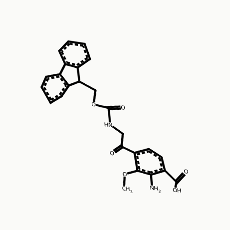 COc1c(C(=O)CNC(=O)OCC2c3ccccc3-c3ccccc32)ccc(C(=O)O)c1N